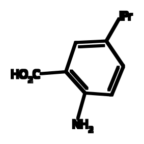 CC(C)c1ccc(N)c(C(=O)O)c1